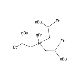 CCCCC(CC)C[N+](CCC)(CC(CC)CCCC)CC(CC)CCCC